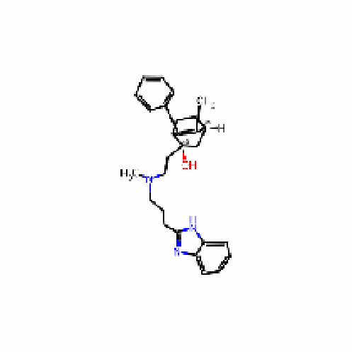 CC1=C(c2ccccc2)C2CC[C@@H]1C[C@]2(O)CCN(C)CCCc1nc2ccccc2[nH]1